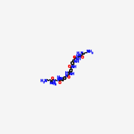 NCCC[C@H](N)C(=O)NCCNC(=O)c1cc2ccc(NC(=O)c3ccc4[nH]c(C(=O)Nc5ccc6cc(C(=O)NCCNC(=O)[C@@H](N)CCCN)[nH]c6c5)cc4c3)cc2[nH]1